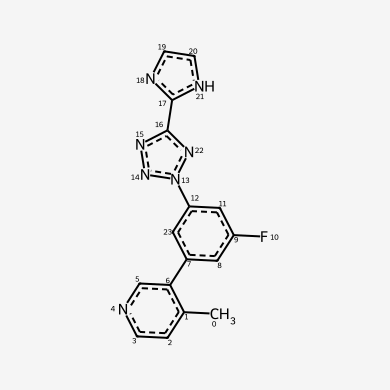 Cc1ccncc1-c1cc(F)cc(-n2nnc(-c3ncc[nH]3)n2)c1